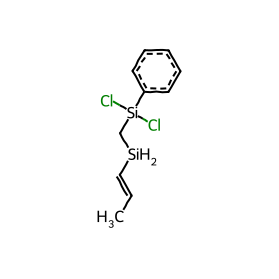 CC=C[SiH2]C[Si](Cl)(Cl)c1ccccc1